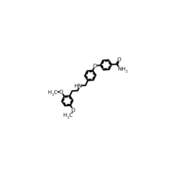 COc1ccc(OC)c(CCNCc2ccc(Oc3ccc(C(N)=O)cc3)cc2)c1